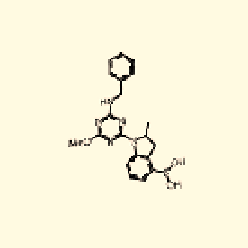 COc1nc(NCc2ccccc2)nc(N2c3cccc(B(O)O)c3CC2C)n1